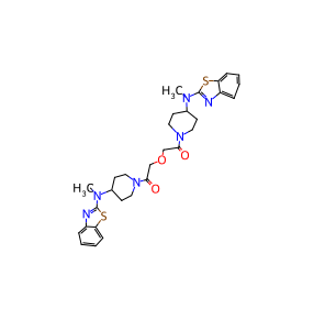 CN(c1nc2ccccc2s1)C1CCN(C(=O)COCC(=O)N2CCC(N(C)c3nc4ccccc4s3)CC2)CC1